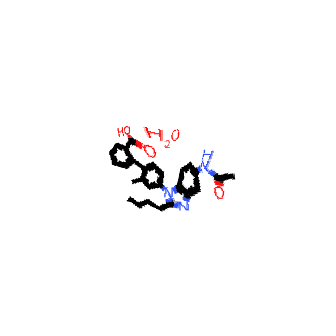 CCCCc1nc2cc(NC(C)=O)ccc2n1-c1ccc(-c2ccccc2C(=O)O)c(C)c1.O